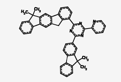 CC1(C)c2ccccc2-c2ccc(-c3nc(-c4ccccn4)nc(-c4cccc5c4Cc4cc6c(cc4-5)C(C)(C)c4ccccc4-6)n3)cc21